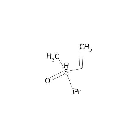 C=C[SH](C)(=O)C(C)C